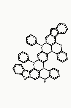 c1ccc(N2c3cc4c(cc3B3c5ccccc5Sc5c3c2cc2oc3ccccc3c52)B2c3ccccc3Nc3cc5oc6ccccc6c5c(c32)N4c2ccccc2)cc1